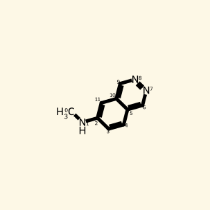 CNc1ccc2cnncc2c1